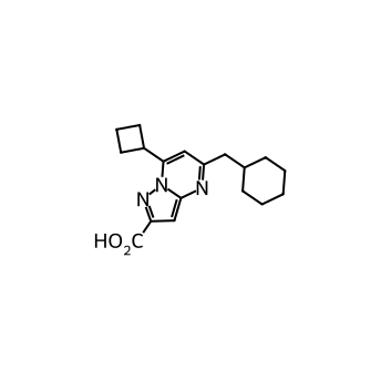 O=C(O)c1cc2nc(CC3CCCCC3)cc(C3CCC3)n2n1